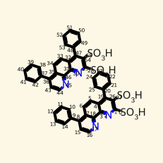 O=S(=O)(O)c1nc2c(ccc3c(-c4ccccc4)ccnc32)c(-c2ccccc2)c1S(=O)(=O)O.O=S(=O)(O)c1nc2c(ccc3c(-c4ccccc4)ccnc32)c(-c2ccccc2)c1S(=O)(=O)O